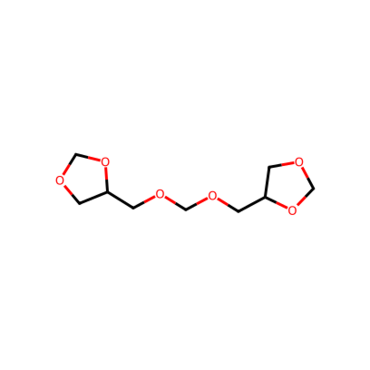 C(OCC1COCO1)OCC1COCO1